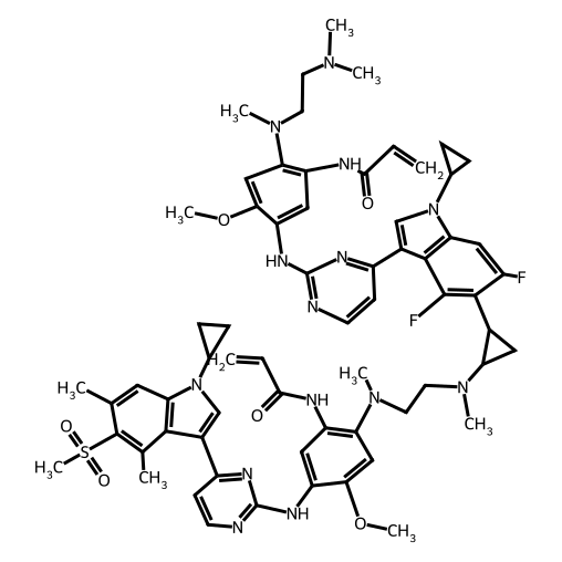 C=CC(=O)Nc1cc(Nc2nccc(-c3cn(C4CC4)c4cc(F)c(C5CC5N(C)CCN(C)c5cc(OC)c(Nc6nccc(-c7cn(C8CC8)c8cc(C)c(S(C)(=O)=O)c(C)c78)n6)cc5NC(=O)C=C)c(F)c34)n2)c(OC)cc1N(C)CCN(C)C